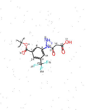 CC(C)(C)OC(=O)c1cc(N(N)C(=O)CC(=O)O)cc(C(F)(F)F)c1